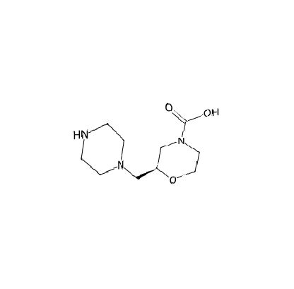 O=C(O)N1CCO[C@@H](CN2CCNCC2)C1